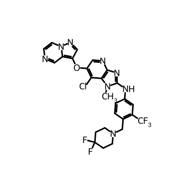 Cn1c(Nc2ccc(CN3CCC(F)(F)CC3)c(C(F)(F)F)c2)nc2ncc(Oc3cnn4ccncc34)c(Cl)c21